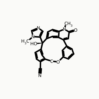 Cn1cncc1[C@@]1(O)c2ccc(C#N)c(c2)COc2cccc(c2)-c2cc(=O)n(C)c3ccc1cc23